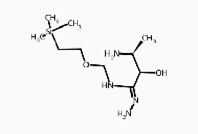 C[C@H](N)C(O)/C(=N/N)NCOCC[Si](C)(C)C